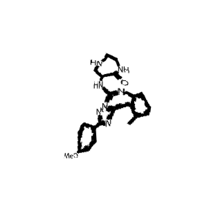 COc1ccc(-c2nc3c4c(C)cccc4nc(NC4CNCCNC4=O)n3n2)cc1